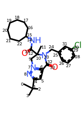 CC(C)(C)c1cc2n(n1)CC(C)(C(=O)NC1CCCCCCC1)N(Cc1cccc(Cl)c1)C2=O